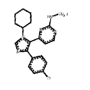 O=C(O)Nc1nccc(-c2c(-c3ccc(Cl)cc3)ncn2C2CCCCC2)n1